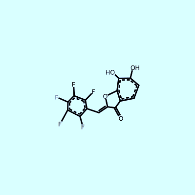 O=C1/C(=C/c2c(F)c(F)c(F)c(F)c2F)Oc2c1ccc(O)c2O